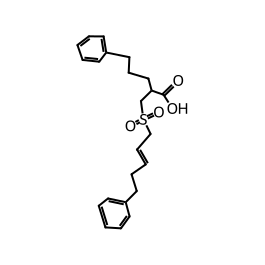 O=C(O)C(CCCc1ccccc1)CS(=O)(=O)CC=CCCc1ccccc1